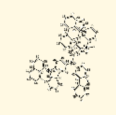 C[Si]1(C)c2ccccc2C2(c3ccccc3-c3cccc4cccc2c34)c2ccc(N(c3ccc4sc5ccccc5c4c3)c3ccc4c(c3)c3ccccc3n4-c3cccc4ccccc34)cc21